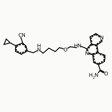 N#Cc1cc(CNCCCCOCCNc2nc3cc(C(N)=O)ccc3c3cnccc23)ccc1C1CC1